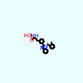 Cc1ccccc1[C@@H](C)n1c(-c2cccc(C=CC(=O)NO)c2)nc2ccccc21